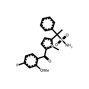 COc1cc(F)ccc1C(=O)c1ccc(C(C)(c2ccccc2)S(N)(=O)=O)n1C